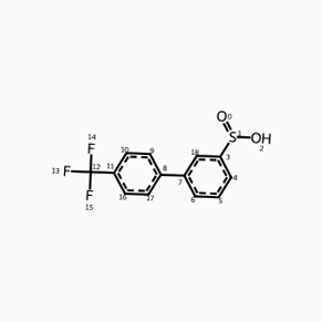 O=S(O)c1cccc(-c2ccc(C(F)(F)F)cc2)c1